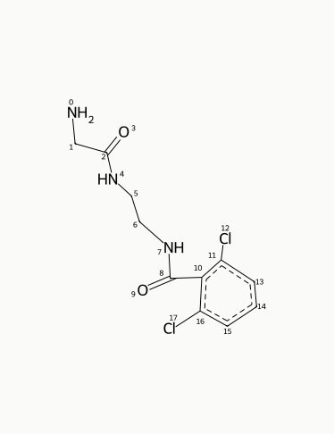 NCC(=O)NCCNC(=O)c1c(Cl)cccc1Cl